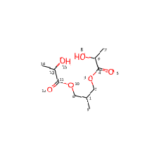 CC(COC(=O)C(C)O)COC(=O)C(C)O